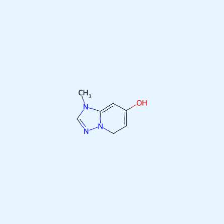 CN1C=NN2CC=C(O)C=C12